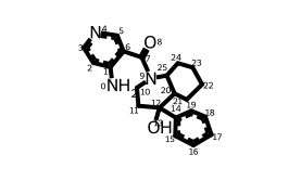 Nc1ccncc1C(=O)N1CCC(O)(c2ccccc2)C2CCCCC21